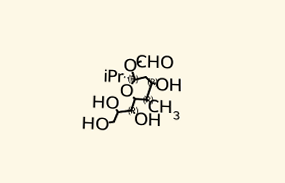 CC(C)[C@]1(OC=O)C[C@@H](O)[C@@H](C)C([C@H](O)C(O)CO)O1